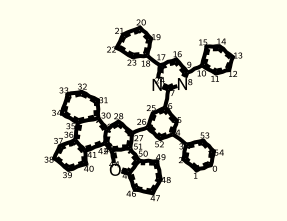 c1ccc(-c2cc(-c3nc(-c4ccccc4)cc(-c4ccccc4)n3)cc(-c3cc4c5ccccc5c5ccccc5c4c4oc5ccccc5c34)c2)cc1